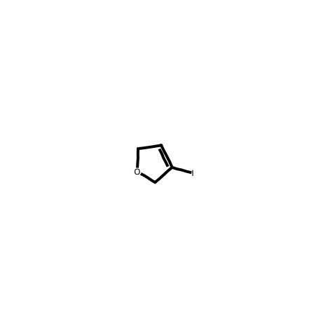 IC1=CCOC1